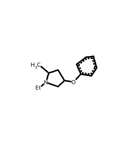 CCN1CC(Oc2ccccc2)CC1C